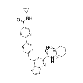 O=C(NC1CC1)c1ccc(-c2ccc(Cc3cc(C(=O)N[C@H]4CCCC[C@@H]4O)nn4cccc34)cc2)nc1